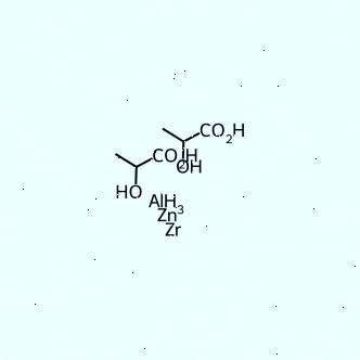 CC(O)C(=O)O.CC(O)C(=O)O.[AlH3].[Zn].[Zr]